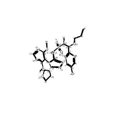 CCCO[C@@H](c1ncc(Cl)cn1)[C@H](C)S(=O)(=O)Nc1nnc([C@@H]2CCOC2)n1-c1c(OC)ncnc1OC